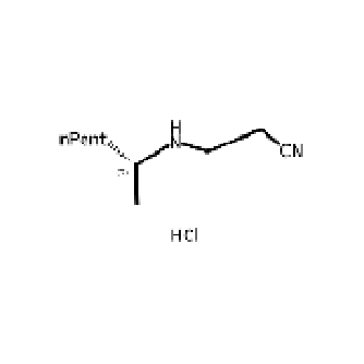 CCCCC[C@@H](C)NCCC#N.Cl